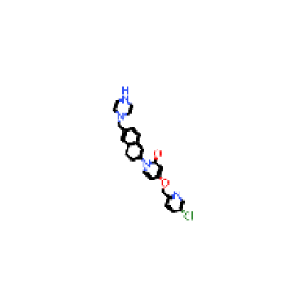 O=c1cc(OCc2ccc(Cl)cn2)ccn1C1=Cc2ccc(CN3CCNCC3)cc2CC1